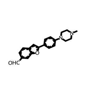 CN1CCN(c2ccc(-c3cc4ccc(C=O)cc4o3)cc2)CC1